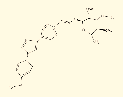 CCO[C@@H]1[C@@H](OC)[C@H](C)O[C@@H](O/N=C/c2ccc(-c3cn(-c4ccc(OC(F)(F)F)cc4)cn3)cc2)[C@@H]1OC